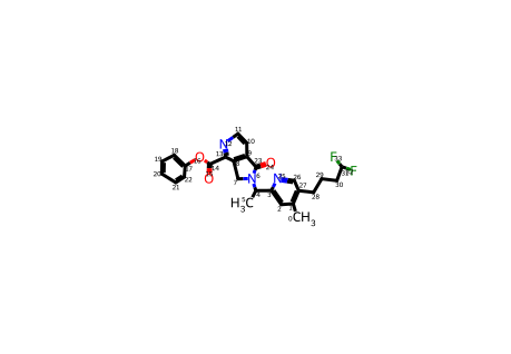 Cc1cc(C(C)N2Cc3c(ccnc3C(=O)Oc3ccccc3)C2=O)ncc1CCCC(F)F